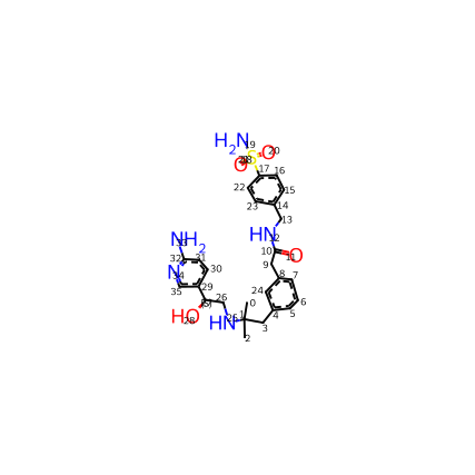 CC(C)(Cc1cccc(CC(=O)NCc2ccc(S(N)(=O)=O)cc2)c1)NC[C@@H](O)c1ccc(N)nc1